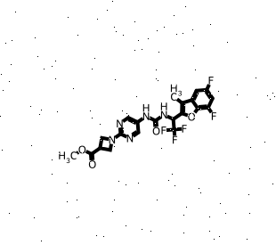 COC(=O)C1CN(c2ncc(NC(=O)NC(c3oc4c(F)cc(F)cc4c3C)C(F)(F)F)cn2)C1